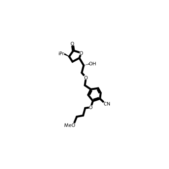 COCCCOc1cc(COC[C@@H](O)C2C[C@@H](C(C)C)C(=O)O2)ccc1C#N